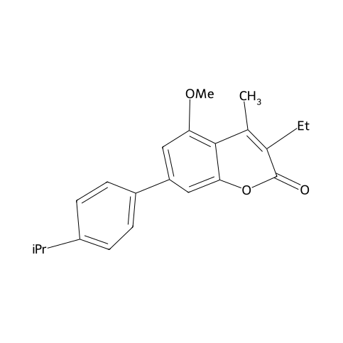 CCc1c(C)c2c(OC)cc(-c3ccc(C(C)C)cc3)cc2oc1=O